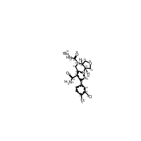 CCc1ccc(-c2nn3c(c2C(N)=O)CN(C(=O)NC(C)(C)C)[C@@H]2COC[C@@H]23)cc1Cl